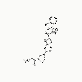 C=CC(=O)N1CCC(c2ccc3cc(C(=O)NS(=O)(=O)c4ccccc4F)oc3c2)C1